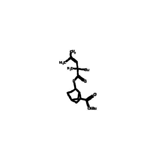 CC(C)=CC(C(=O)OC1CC2CC(C(=O)OCC(C)C)C1C2)(C(C)(C)C)C(F)(F)F